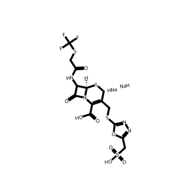 O=C(CSC(F)(F)F)NC1C(=O)N2C(C(=O)O)=C(CSc3nnc(CS(=O)(=O)O)o3)CS[C@H]12.[NaH].[NaH]